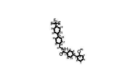 COc1ccccc1-c1ccc(C(=O)NCc2ccc(-c3ccc(C(F)(F)F)cc3)cc2)cc1